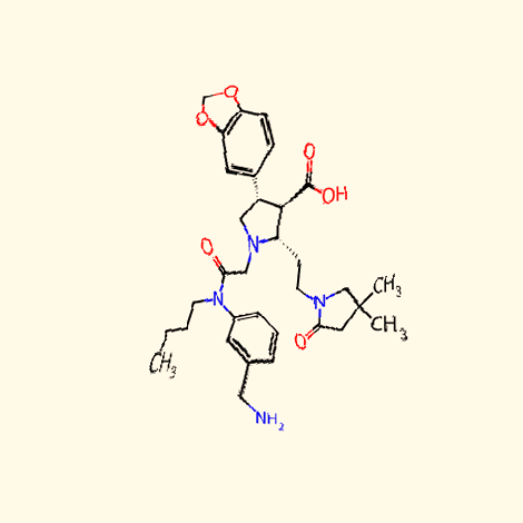 CCCCN(C(=O)CN1C[C@H](c2ccc3c(c2)OCO3)[C@@H](C(=O)O)[C@@H]1CCN1CC(C)(C)CC1=O)c1cccc(CN)c1